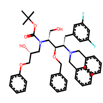 CC(C)(C)OC(=O)N(C[C@@H](O)COc1ccccc1)[C@H](CO)[C@H](OCc1ccccc1)[C@H](Cc1cc(F)cc(F)c1)N(Cc1ccccc1)Cc1ccccc1